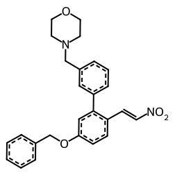 O=[N+]([O-])/C=C/c1ccc(OCc2ccccc2)cc1-c1cccc(CN2CCOCC2)c1